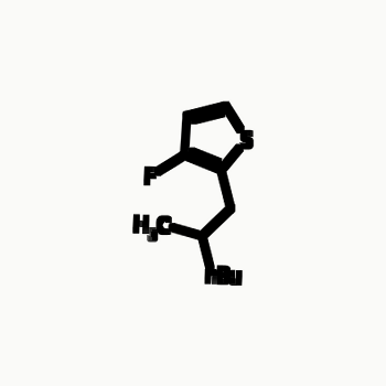 CCCCC(C)Cc1sccc1F